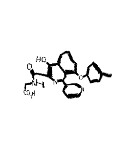 Cc1ccc(Oc2cccc3c(O)c(C(=O)NCC(=O)O)nc(-c4cccnc4)c23)cc1